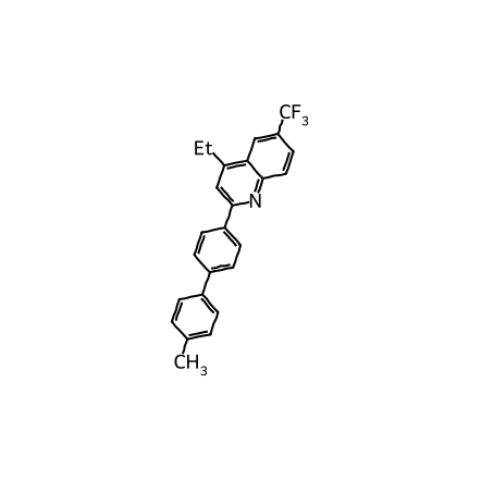 CCc1cc(-c2ccc(-c3ccc(C)cc3)cc2)nc2ccc(C(F)(F)F)cc12